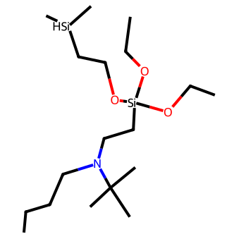 CCCCN(CC[Si](OCC)(OCC)OCC[SiH](C)C)C(C)(C)C